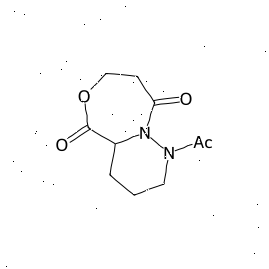 CC(=O)N1CCCC2C(=O)OCCC(=O)N21